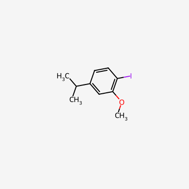 COc1cc(C(C)C)ccc1I